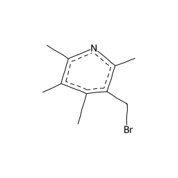 Cc1nc(C)c(CBr)c(C)c1C